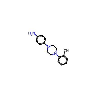 N#Cc1ccccc1N1CCN(c2ccc(N)cc2)CC1